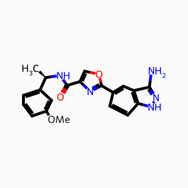 COc1cccc([C@@H](C)NC(=O)c2coc(-c3ccc4[nH]nc(N)c4c3)n2)c1